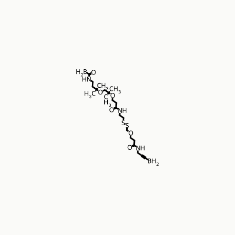 BC#CCNC(=O)CCOCSSCCNC(=O)CCOC(C)(C)COC(C)(C)CCNC(B)=O